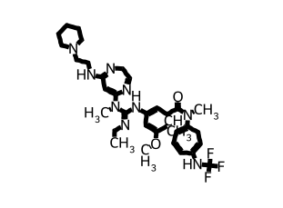 C=C(/C=C(\C=C(/CC)OC)N/C(=N/CC)N(C)C1=CC(NCCN2CCCCC2)=NCC=N1)C(=O)N(C)C1=CC=CC(NC(F)(F)F)=CC1